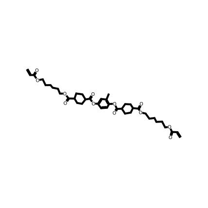 C=CC(=O)OCCCCCCOC(=O)C1CCC(C(=O)Oc2ccc(OC(=O)C3CCC(C(=O)OCCCCCCOC(=O)C=C)CC3)c(C)c2)CC1